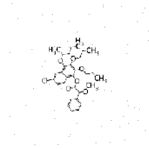 CCCOc1c(OCCC)c(OC(C)CCC)c2cc(Cl)ccc2c1OC(=O)C(OC)c1ccccc1